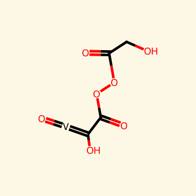 [O]=[V]=[C](O)C(=O)OOC(=O)CO